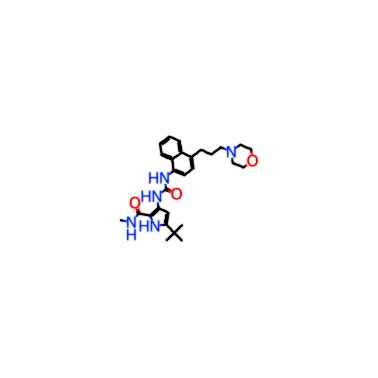 CNC(=O)c1[nH]c(C(C)(C)C)cc1NC(=O)Nc1ccc(CCCN2CCOCC2)c2ccccc12